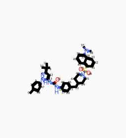 Cc1ccc(-n2nc(C(C)(C)C)cc2NC(=O)Nc2ccc(CC3CCN(S(=O)(=O)c4cccc5c(N(C)C)cccc45)CC3)cc2)cc1